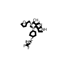 C=C1c2cnc3[nH]ccc3c2N([C@H]2CC[C@H](CNCC(F)(F)F)CC2)CN1CC1CCCO1